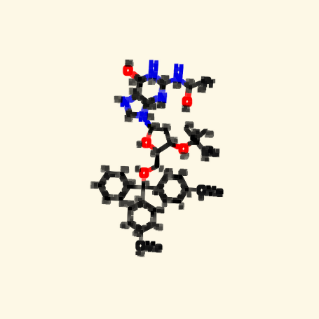 COc1ccc(C(OC[C@H]2O[C@@H](n3cnc4c(=O)[nH]c(NC(=O)C(C)C)nc43)[CH][C@H]2O[Si](C)(C)C(C)(C)C)(c2ccccc2)c2ccc(OC)cc2)cc1